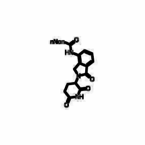 CCCCCCCCCC(=O)Nc1cccc2c1CN(C1CCC(=O)NC1=O)C2=O